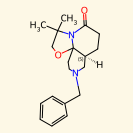 CC1(C)COC23CCN(Cc4ccccc4)C[C@@H]2CCC(=O)N13